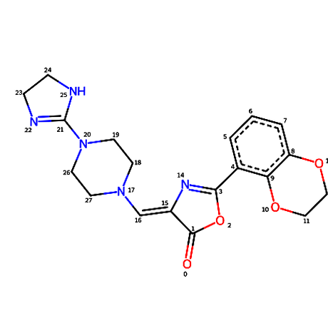 O=C1OC(c2cccc3c2OCCO3)=NC1=CN1CCN(C2=NCCN2)CC1